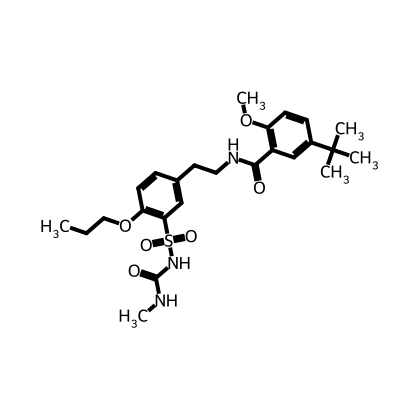 CCCOc1ccc(CCNC(=O)c2cc(C(C)(C)C)ccc2OC)cc1S(=O)(=O)NC(=O)NC